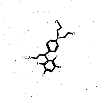 O=C(O)CCC(c1ccc(N(CCCl)CCCl)cc1)c1c(F)c(F)cc(F)c1F